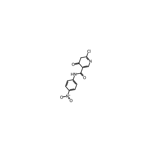 O=C1CC(Cl)=NC=C1C(=O)Nc1ccc([N+](=O)[O-])cc1